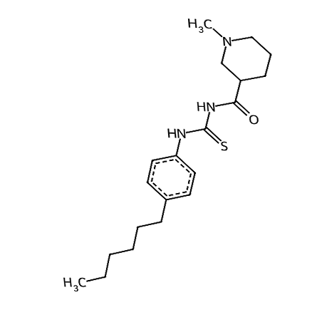 CCCCCCc1ccc(NC(=S)NC(=O)C2CCCN(C)C2)cc1